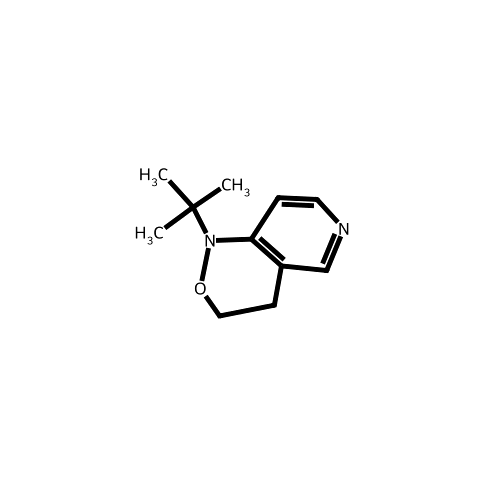 CC(C)(C)N1OCCc2cnccc21